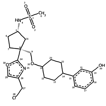 CS(=O)(=O)N[C@H]1CC[C@](COC2CCC(c3cccc(O)c3)CC2)(c2nc(CCl)co2)C1